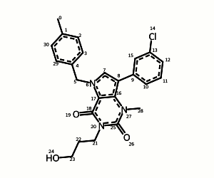 Cc1ccc(Cn2cc(-c3cccc(Cl)c3)c3c2c(=O)n(CCCO)c(=O)n3C)cc1